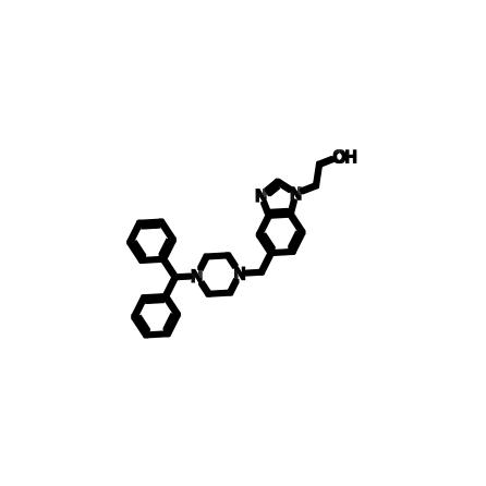 OCCn1cnc2cc(CN3CCN(C(c4ccccc4)c4ccccc4)CC3)ccc21